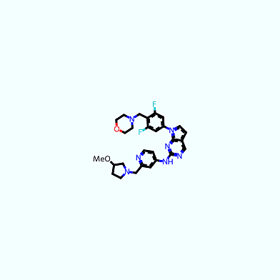 COC1CCN(Cc2cc(Nc3ncc4ccn(-c5cc(F)c(CN6CCOCC6)c(F)c5)c4n3)ccn2)C1